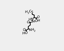 CSCCC(N[Se]C(=O)CCC(N)C(=O)O)C(=O)O